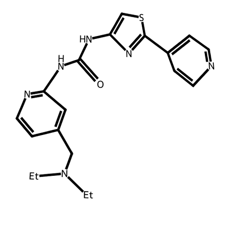 CCN(CC)Cc1ccnc(NC(=O)Nc2csc(-c3ccncc3)n2)c1